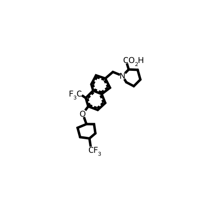 O=C(O)C1CCCCN1Cc1ccc2c(C(F)(F)F)c(OC3CCC(C(F)(F)F)CC3)ccc2c1